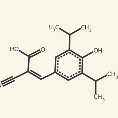 CC(C)c1cc(C=C(C#N)C(=O)O)cc(C(C)C)c1O